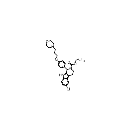 CCOC(=O)N1CCc2c([nH]c3ccc(Cl)cc23)C1c1ccc(OCCCN2CCOCC2)cc1